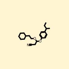 CCC(C)c1ccc(OC(CC#N)OCCC2CCCCC2)cc1